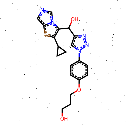 OCCCOc1ccc(-n2cc(C(O)c3c(C4CC4)sc4cncn34)nn2)cc1